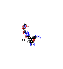 N=c1ccc2c(-c3ccc(C(=O)NCNC(=O)CCC(=O)ON4C(=O)CCC4=O)cc3C(=O)O)c3ccc(N)cc3oc-2c1